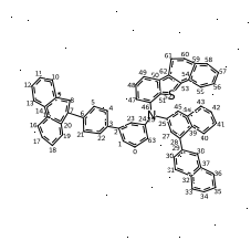 c1cc(-c2ccc(-c3cc4ccccc4c4ccccc34)cc2)cc(N(c2cc(-c3ccc4ccccc4c3)c3ccccc3c2)c2cccc3c2sc2c4ccccc4ccc32)c1